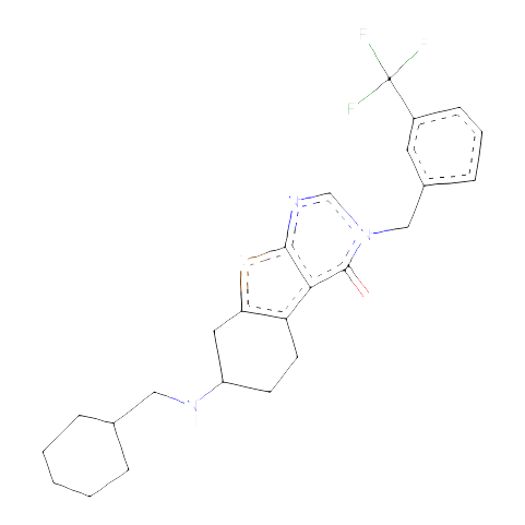 O=c1c2c3c(sc2ncn1Cc1cccc(C(F)(F)F)c1)CC(NCC1CCCCC1)CC3